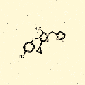 Cc1c(Oc2ccc(C#N)cc2)c(C2CC2)nn1Cc1ccon1